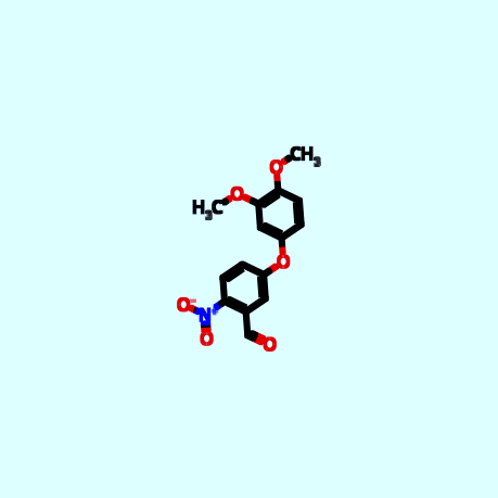 COc1ccc(Oc2ccc([N+](=O)[O-])c(C=O)c2)cc1OC